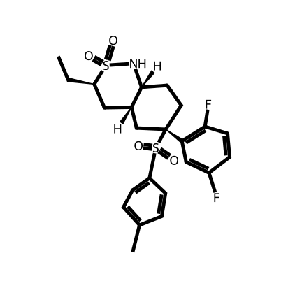 CC[C@@H]1C[C@H]2C[C@@](c3cc(F)ccc3F)(S(=O)(=O)c3ccc(C)cc3)CC[C@H]2NS1(=O)=O